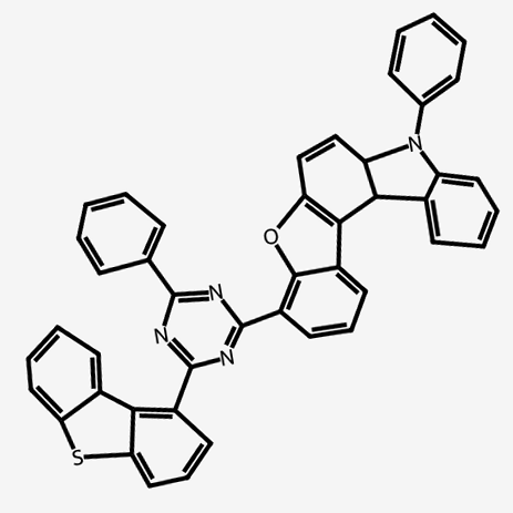 C1=CC2C(c3ccccc3N2c2ccccc2)c2c1oc1c(-c3nc(-c4ccccc4)nc(-c4cccc5sc6ccccc6c45)n3)cccc21